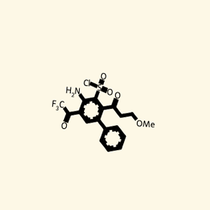 COCCC(=O)c1c(-c2ccccc2)cc(C(=O)C(F)(F)F)c(N)c1S(=O)(=O)Cl